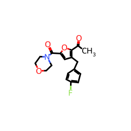 CC(=O)c1oc(C(=O)N2CCOCC2)cc1Cc1ccc(F)cc1